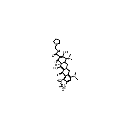 CN(C)c1cc(NS(C)(=O)=O)c(O)c2c1CC1CC3[C@H](N(C)C)C(O)=C(C(=O)NCN4CCCC4)C(=O)[C@@]3(O)C(O)=C1C2=O